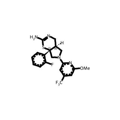 COc1cc(C(F)(F)F)cc(N2C[C@@H]3CN=C(N)S[C@@]3(c3ccccc3F)C2)n1